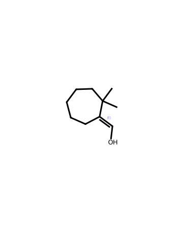 CC1(C)CCCCC/C1=C\O